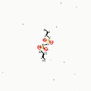 CC=CCS(=O)(=O)CCS(=O)(=O)CC=CC